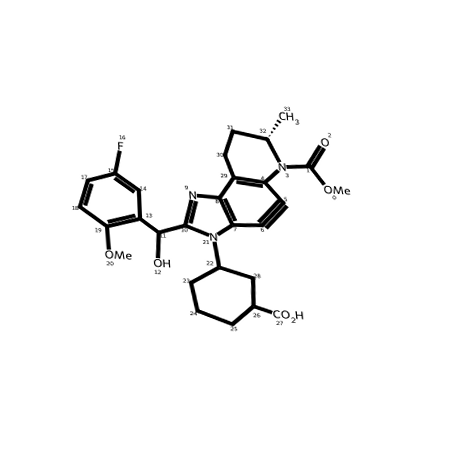 COC(=O)N1c2c#cc3c(nc(C(O)c4cc(F)ccc4OC)n3C3CCCC(C(=O)O)C3)c2CC[C@@H]1C